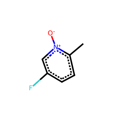 Cc1ccc(F)c[n+]1[O-]